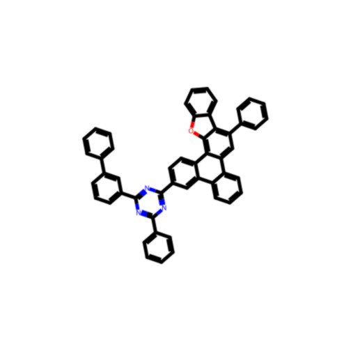 c1ccc(-c2cccc(-c3nc(-c4ccccc4)nc(-c4ccc5c(c4)c4ccccc4c4cc(-c6ccccc6)c6c7ccccc7oc6c54)n3)c2)cc1